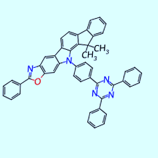 CC1(C)c2ccccc2-c2ccc3c4cc5nc(-c6ccccc6)oc5cc4n(-c4ccc(-c5nc(-c6ccccc6)nc(-c6ccccc6)n5)cc4)c3c21